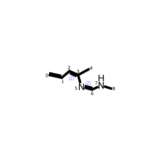 C=C/C=C(C)\N=C/NC